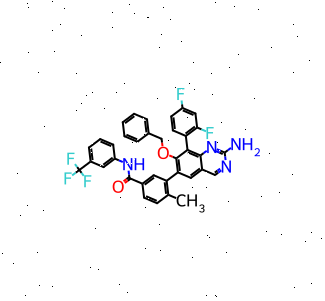 Cc1ccc(C(=O)Nc2cccc(C(F)(F)F)c2)cc1-c1cc2cnc(N)nc2c(-c2ccc(F)cc2F)c1OCc1ccccc1